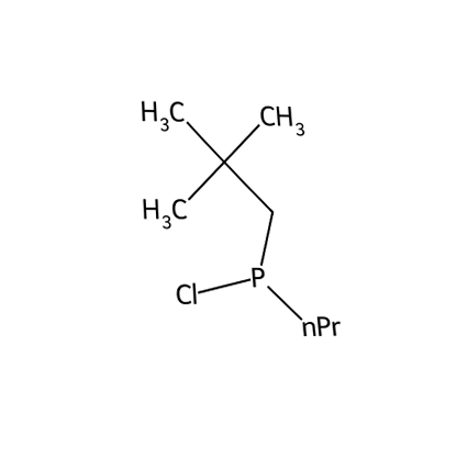 CCCP(Cl)CC(C)(C)C